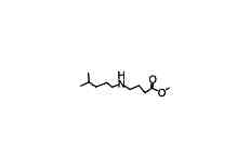 COC(=O)CCCNCCCC(C)C